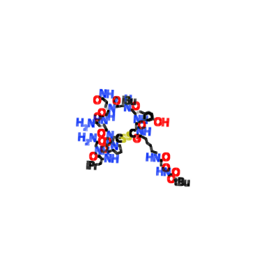 CCC(C)[C@@H]1NC(=O)[C@H](Cc2ccc(O)cc2)NC(=O)[C@@H](NC(=O)CCCCCNC(=O)CONC(=O)OC(C)(C)C)CSSC[C@@H](C(=O)N2CCC[C@H]2C(=O)N[C@@H](CC(C)C)C(=O)NCC(N)=O)NC(=O)[C@H](CC(N)=O)NC(=O)[C@H](CCC(N)=O)NC1=O